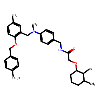 CC(C)C1C(C)CCCC1OCC(=O)NCc1ccc(N(C)Cc2cc([N+](=O)[O-])ccc2OCc2ccc(C(=O)O)cc2)cc1